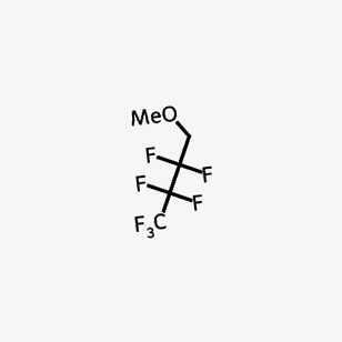 [CH2]OCC(F)(F)C(F)(F)C(F)(F)F